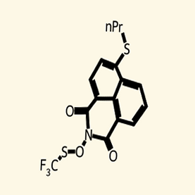 CCCSc1ccc2c3c(cccc13)C(=O)N(OSC(F)(F)F)C2=O